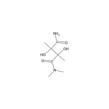 CN(C)C(=O)C(C)(O)C(C)(O)C(N)=O